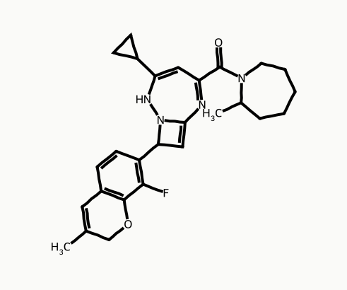 CC1=Cc2ccc(C3C=C4N=C(C(=O)N5CCCCCC5C)C=C(C5CC5)NN43)c(F)c2OC1